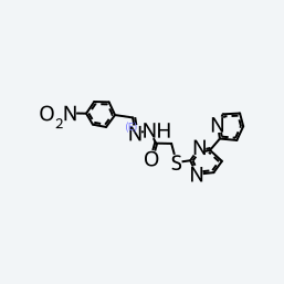 O=C(CSc1nccc(-c2ccccn2)n1)N/N=C/c1ccc([N+](=O)[O-])cc1